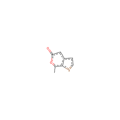 Cc1oc(=O)cc2ccsc12